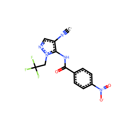 [C-]#[N+]c1cnn(CC(F)(F)F)c1NC(=O)c1ccc([N+](=O)[O-])cc1